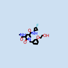 CNC(=O)c1cc(C(=O)NC2CC(F)C2)cn(Cc2cccc(OCCO)c2)c1=O